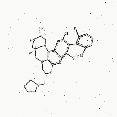 C[C@@H]1CN2c3c4c(nc5c(F)c(-c6c(O)cccc6F)c(Cl)cc35)O[C@H](CN3CCCC3)CN4C[C@H]2CN1